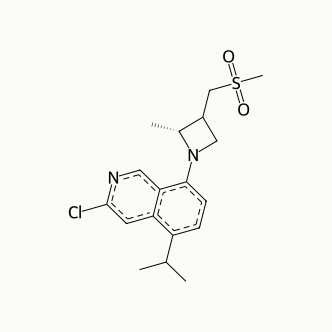 CC(C)c1ccc(N2CC(CS(C)(=O)=O)[C@H]2C)c2cnc(Cl)cc12